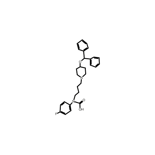 O=C(O)N(CCCCN1CCC(OC(c2ccccc2)c2ccccc2)CC1)c1ccc(F)cc1